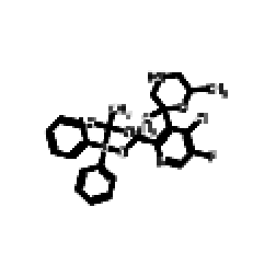 CC1CNCC(C)(c2c(CO[Si](c3ccccc3)(c3ccccc3)C(C)(C)C)ncc(F)c2Cl)O1